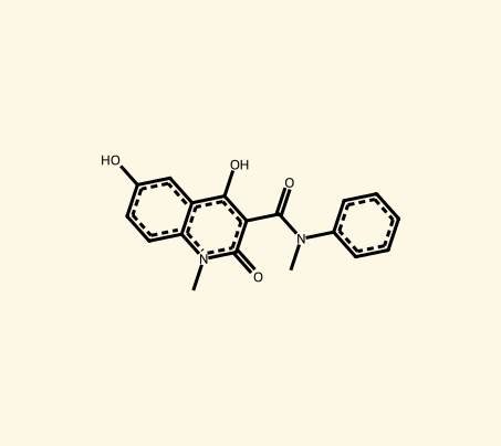 CN(C(=O)c1c(O)c2cc(O)ccc2n(C)c1=O)c1ccccc1